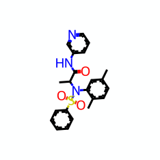 Cc1ccc(C)c(N(C(C)C(=O)Nc2cccnc2)S(=O)(=O)c2ccccc2)c1